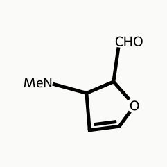 CNC1C=COC1C=O